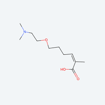 CC(=CCCCOCCN(C)C)C(=O)O